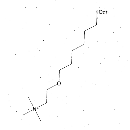 CCCCCCCCCCCCCCOCC[N+](C)(C)C